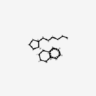 CCCCCCC1CCCC1.c1ccc2c(c1)CCCC2